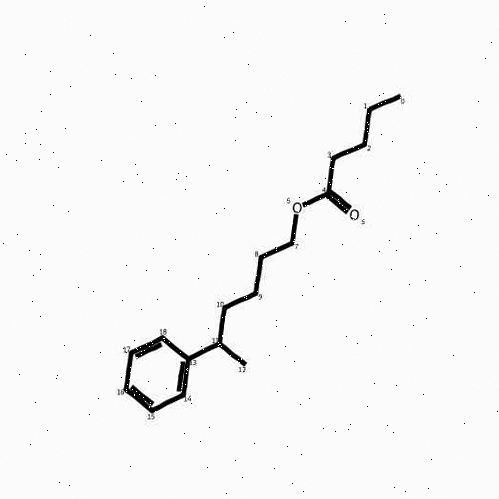 CCCCC(=O)OCCCCC(C)c1ccccc1